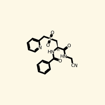 N#CCNC(=O)[C@H](CS(=O)(=O)Cc1ccccn1)NC(=O)c1ccccc1